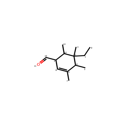 CCC1(C)C(C)C(C)=CC(C=O)C1C